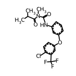 CC(C)C(=O)N(C)C(=O)Nc1cccc(Oc2ccc(Cl)c(C(F)(F)F)c2)c1